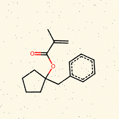 C=C(C)C(=O)OC1(Cc2ccccc2)CCCC1